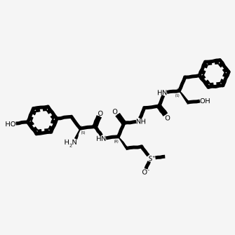 C[S+]([O-])CC[C@@H](NC(=O)[C@@H](N)Cc1ccc(O)cc1)C(=O)NCC(=O)N[C@H](CO)Cc1ccccc1